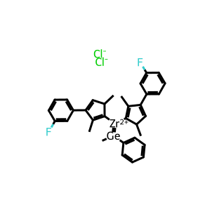 CC1=[C]([Zr+2]([C]2=C(C)C(c3cccc(F)c3)=CC2C)=[Ge]([CH3])[c]2ccccc2)C(C)C=C1c1cccc(F)c1.[Cl-].[Cl-]